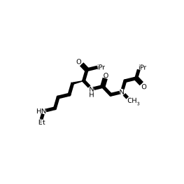 CCNCCCC[C@H](NC(=O)CN(C)CC(=O)C(C)C)C(=O)C(C)C